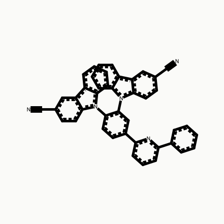 N#Cc1ccc2c(c1)c1ccccc1n2-c1ccc(-c2cccc(-c3ccccc3)n2)cc1-n1c2ccccc2c2cc(C#N)ccc21